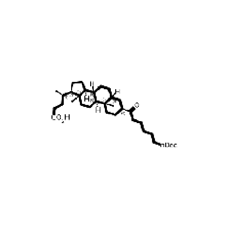 CCCCCCCCCCCCCCCC(=O)[C@H]1CC[C@@]2(C)[C@H](CC[C@@H]3[C@@H]2CC[C@]2(C)[C@@H]([C@H](C)CCC(=O)O)CC[C@@H]32)C1